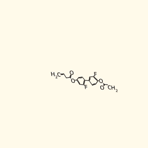 C=CCC(=O)Oc1ccc(-c2ccc(OC(=O)C=C)c(F)c2)c(F)c1